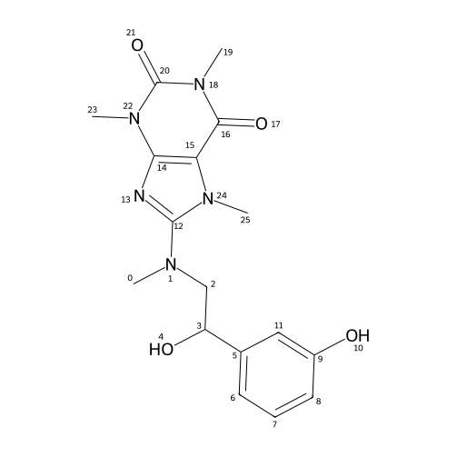 CN(CC(O)c1cccc(O)c1)c1nc2c(c(=O)n(C)c(=O)n2C)n1C